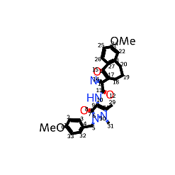 COc1ccc(Cn2c(=O)c(NC(=O)c3noc4c3CCCc3cc(OC)ccc3-4)c(C)n2C)cc1